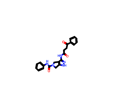 O=C(CCC(=O)c1ccccc1)Nc1n[nH]c2c1CN(C(=O)Nc1ccccc1)C2